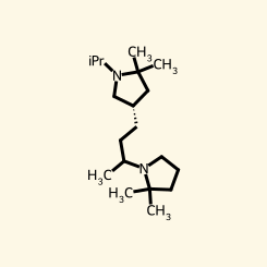 CC(C)N1C[C@@H](CCC(C)N2CCCC2(C)C)CC1(C)C